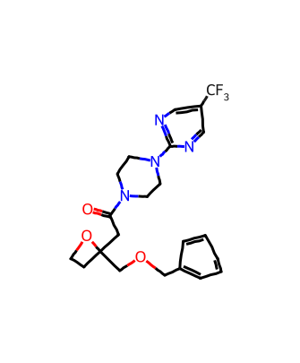 O=C(CC1(COCc2ccccc2)CCO1)N1CCN(c2ncc(C(F)(F)F)cn2)CC1